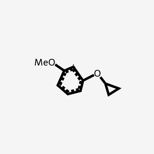 COc1[c]c(OC2CC2)ccc1